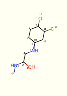 CNC(O)CN[C@H]1CCC(Cl)C(Cl)C1